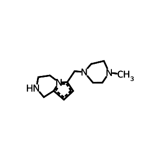 CN1CCN(Cc2ccc3n2CCNC3)CC1